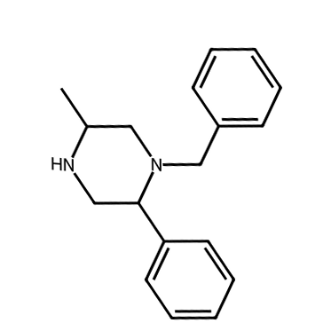 CC1CN(Cc2ccccc2)C(c2ccccc2)CN1